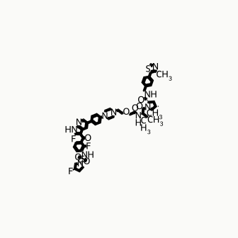 Cc1ncsc1-c1ccc(CNC(=O)[C@@H]2C[CH]CN2C(=O)[C@@H](NC(=O)COCCN2CCN(c3ccc(-c4cnc5[nH]cc(C(=O)c6c(F)ccc(NS(=O)(=O)N7CC[C@@H](F)C7)c6F)c5c4)cc3)CC2)C(C)(C)C)cc1